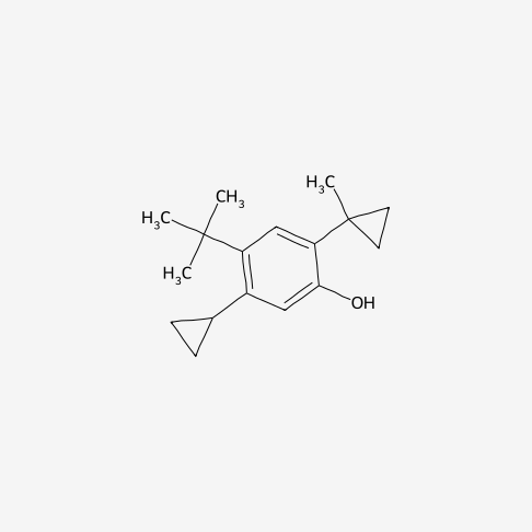 CC(C)(C)c1cc(C2(C)CC2)c(O)cc1C1CC1